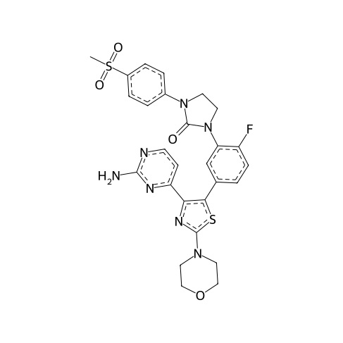 CS(=O)(=O)c1ccc(N2CCN(c3cc(-c4sc(N5CCOCC5)nc4-c4ccnc(N)n4)ccc3F)C2=O)cc1